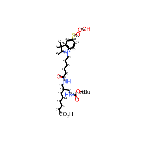 CC1=[N+](CCCCCC(=O)NCC(CCCCCC(=O)O)CNC(=O)OC(C)(C)C)c2ccc(SOOO)cc2C1(C)C